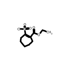 CCOC(=O)C1=C(S(=O)(=O)Cl)CCCCC1